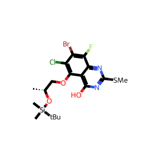 CSc1nc(O)c2c(OC[C@@H](C)O[Si](C)(C)C(C)(C)C)c(Cl)c(Br)c(F)c2n1